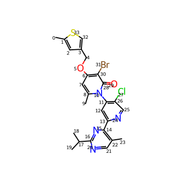 Cc1cc(COc2cc(C)n(-c3cc(-c4nc(C(C)C)ncc4C)ncc3Cl)c(=O)c2Br)cs1